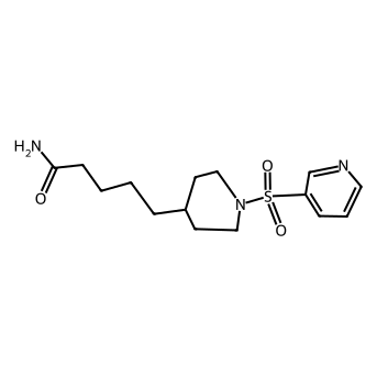 NC(=O)CCCCC1CCN(S(=O)(=O)c2cccnc2)CC1